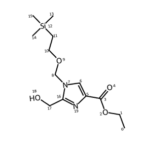 CCOC(=O)c1cn(COCC[Si](C)(C)C)c(CO)n1